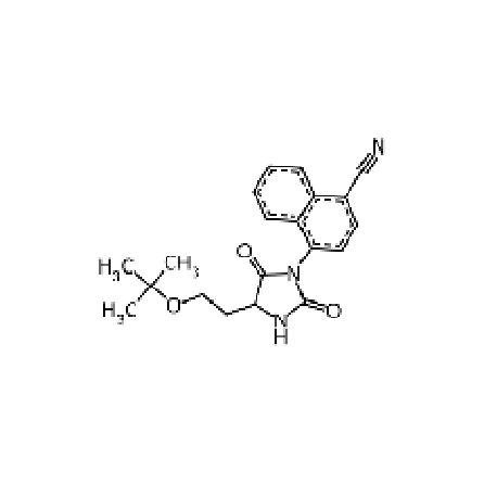 CC(C)(C)OCCC1NC(=O)N(c2ccc(C#N)c3ccccc23)C1=O